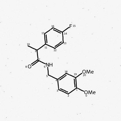 COc1ccc(CNC(=O)C(C)c2ccc(F)cc2)cc1OC